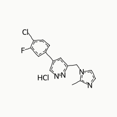 Cc1nccn1Cc1cc(-c2ccc(Cl)c(F)c2)cnn1.Cl